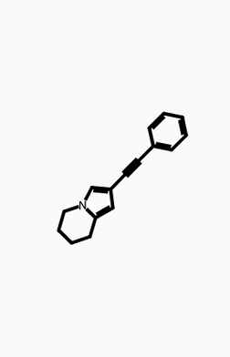 C(#Cc1cc2n(c1)CCCC2)c1ccccc1